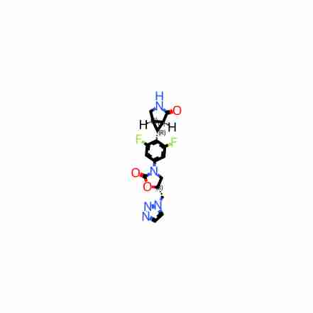 O=C1NC[C@H]2[C@@H]1[C@@H]2c1c(F)cc(N2C[C@H](Cn3ccnn3)OC2=O)cc1F